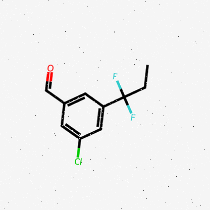 CCC(F)(F)c1cc(Cl)cc(C=O)c1